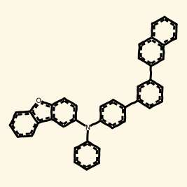 c1ccc(N(c2ccc(-c3cccc(-c4ccc5ccccc5c4)c3)cc2)c2ccc3oc4ccccc4c3c2)cc1